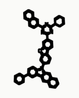 C1=CCC(c2nc(-c3ccc4ccccc4c3)nc(-c3ccc4c(c3)oc3cc(-n5c6ccc(-c7ccccc7)cc6c6cc7ccccc7cc65)ccc34)n2)C=C1